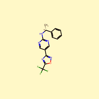 C[C@@H](Nc1ncc(-c2noc(C(F)(F)F)n2)cn1)c1ccccc1